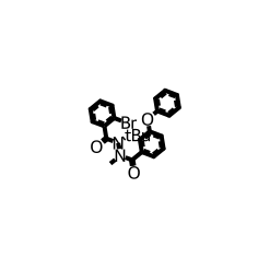 CN(C(=O)c1cccc(Oc2ccccc2)c1)N(C(=O)c1ccccc1Br)C(C)(C)C